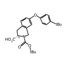 CC(C)(C)OC(=O)N1Cc2cc(Oc3ccc(C(C)(C)C)cc3)ccc2C[C@H]1C(=O)O